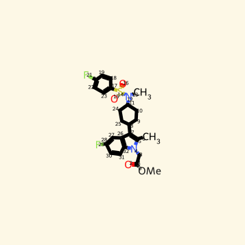 COC(=O)Cn1c(C)c(C2CCC(N(C)S(=O)(=O)c3ccc(F)cc3)CC2)c2cc(F)ccc21